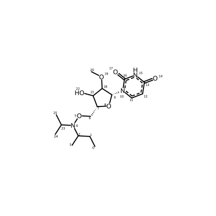 CCC(C)N(OC[C@H]1O[C@@H](n2ccc(=O)[nH]c2=O)C(OC)C1O)C(C)C